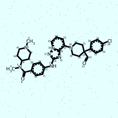 CN1CCC(N(C)C(=O)c2ccc(Nc3nc4c(N5CCC(C=O)(c6ccc(Cl)cc6)CC5)cccn4n3)cc2)CC1